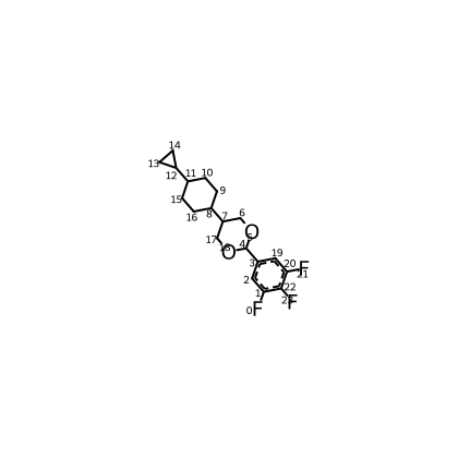 Fc1cc(C2OCC(C3CCC(C4CC4)CC3)CO2)cc(F)c1F